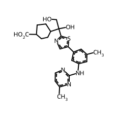 Cc1cc(Nc2nccc(C)n2)cc(-c2cnc(C(O)(CO)C3CCC(C(=O)O)CC3)s2)c1